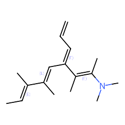 C=C/C=C(\C=C(C)\C(C)=C\C)C(/C)=C(\C)N(C)C